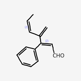 C=C(/C=C\C)/C(=C/C=O)c1ccccc1